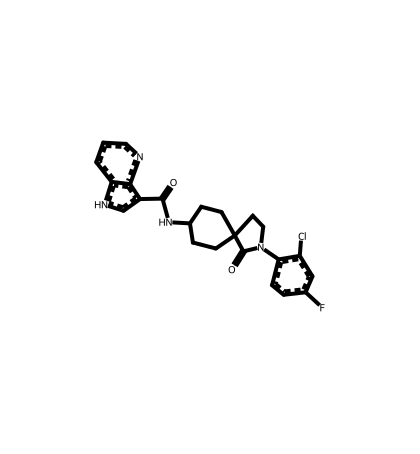 O=C(NC1CCC2(CC1)CCN(c1ccc(F)cc1Cl)C2=O)c1c[nH]c2cccnc12